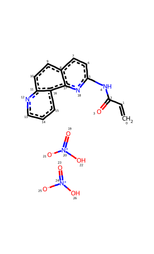 C=CC(=O)Nc1ccc2ccc3ncccc3c2n1.O=[N+]([O-])O.O=[N+]([O-])O